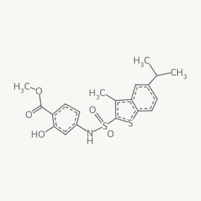 COC(=O)c1ccc(NS(=O)(=O)c2sc3ccc(C(C)C)cc3c2C)cc1O